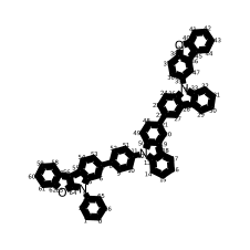 c1ccc(-n2c3cc(-c4ccc(-n5c6ccccc6c6cc(-c7ccc8c(c7)c7ccccc7n8-c7ccc8oc9ccccc9c8c7)ccc65)cc4)ccc3c3c4ccccc4oc32)cc1